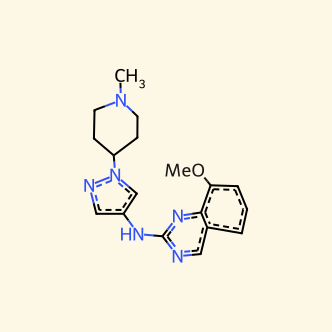 COc1cccc2cnc(Nc3cnn(C4CCN(C)CC4)c3)nc12